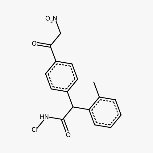 Cc1ccccc1C(C(=O)NCl)c1ccc(C(=O)C[N+](=O)[O-])cc1